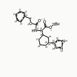 CC(C)(C)OC(=O)N(NC(=O)OCc1ccccc1)C1CCC[C@H](n2cnnn2)C1